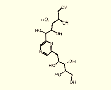 OC[C@@H](O)[C@@H](O)[C@@H](O)Cc1cncc([C@@H](O)[C@H](O)[C@H](O)[C@H](O)CO)n1